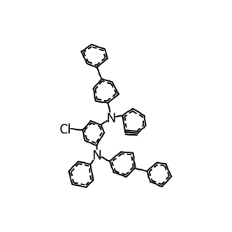 Clc1cc(N(c2c#cccc2)c2ccc(-c3ccccc3)cc2)cc(N(c2ccccc2)c2ccc(-c3ccccc3)cc2)c1